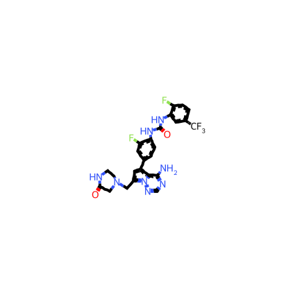 Nc1ncnn2c(CN3CCNC(=O)C3)cc(-c3ccc(NC(=O)Nc4cc(C(F)(F)F)ccc4F)c(F)c3)c12